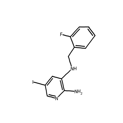 Nc1ncc(I)cc1NCc1ccccc1F